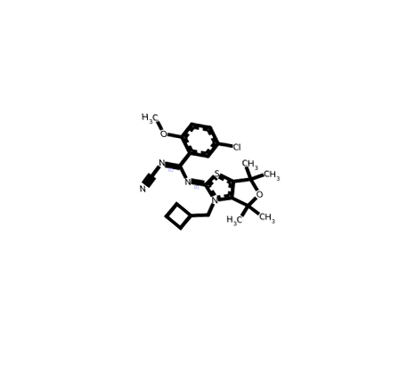 COc1ccc(Cl)cc1C(=N/C#N)/N=c1\sc2c(n1CC1CCC1)C(C)(C)OC2(C)C